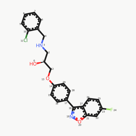 O[C@@H](CNCc1ccccc1Cl)COc1ccc(-c2noc3cc(F)ccc23)cc1